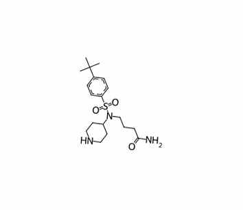 CC(C)(C)c1ccc(S(=O)(=O)N(CCCC(N)=O)C2CCNCC2)cc1